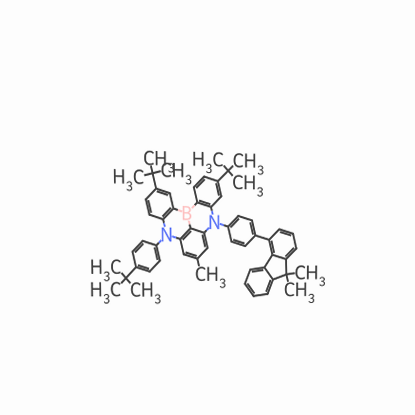 Cc1cc2c3c(c1)N(c1ccc(-c4cccc5c4-c4ccccc4C5(C)C)cc1)c1cc(C(C)(C)C)ccc1B3c1cc(C(C)(C)C)ccc1N2c1ccc(C(C)(C)C)cc1